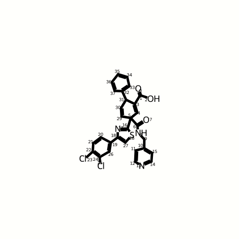 O=C(O)C1=CC(C(=O)NCc2ccncc2)(c2nc(-c3ccc(Cl)c(Cl)c3)cs2)C=CC1c1ccccc1